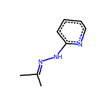 CC(C)=NNc1ccccn1